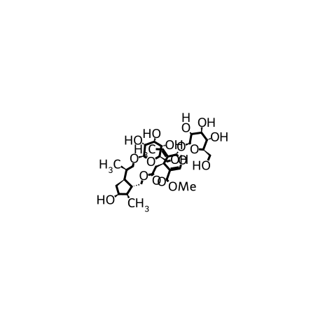 C/C=C1/[C@H](O[C@@H]2O[C@H](CO)[C@@H](O)[C@H](O)[C@H]2O)OC=C(C(=O)OC)[C@H]1CC(=O)OC[C@@H]1[C@@H](C)[C@@H](O)C[C@H]1[C@@H](C)CO[C@@H]1O[C@H](CO)[C@@H](O)[C@H](O)[C@H]1O